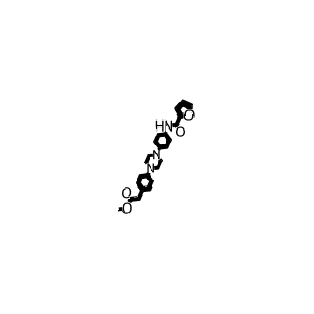 COC(=O)Cc1ccc(N2CCN(c3ccc(NC(=O)c4ccco4)cc3)CC2)cc1